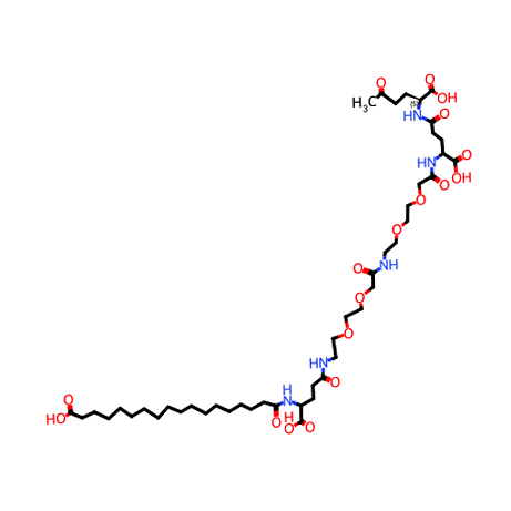 CC(=O)CC[C@H](NC(=O)CCC(NC(=O)COCCOCCNC(=O)COCCOCCNC(=O)CCC(NC(=O)CCCCCCCCCCCCCCCCC(=O)O)C(=O)O)C(=O)O)C(=O)O